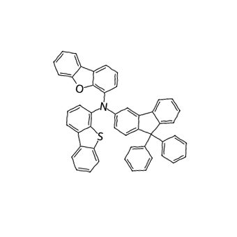 c1ccc(C2(c3ccccc3)c3ccccc3-c3cc(N(c4cccc5c4oc4ccccc45)c4cccc5c4sc4ccccc45)ccc32)cc1